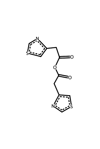 O=C(Cc1cscn1)OC(=O)Cc1cscn1